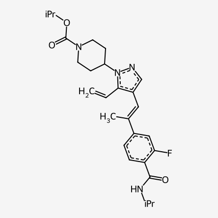 C=Cc1c(/C=C(\C)c2ccc(C(=O)NC(C)C)c(F)c2)cnn1C1CCN(C(=O)OC(C)C)CC1